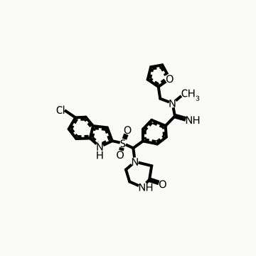 CN(Cc1ccco1)C(=N)c1ccc(C(N2CCNC(=O)C2)S(=O)(=O)c2cc3cc(Cl)ccc3[nH]2)cc1